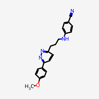 COc1ccc(-c2ccc(CCCNc3ccc(C#N)cc3)nn2)cc1